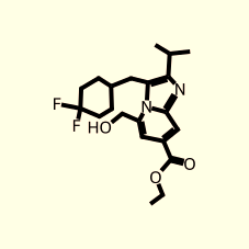 CCOC(=O)c1cc(CO)n2c(CC3CCC(F)(F)CC3)c(C(C)C)nc2c1